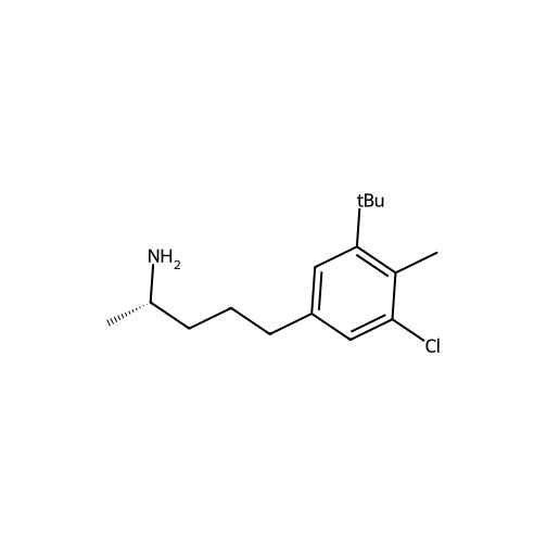 Cc1c(Cl)cc(CCC[C@H](C)N)cc1C(C)(C)C